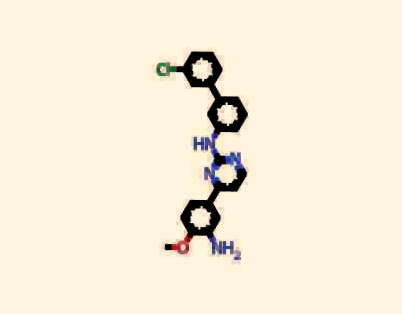 COc1ccc(-c2ccnc(Nc3cccc(-c4cccc(Cl)c4)c3)n2)cc1N